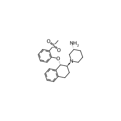 CS(=O)(=O)c1ccccc1O[C@H]1c2ccccc2CC[C@@H]1N1CCC[C@@H](N)C1